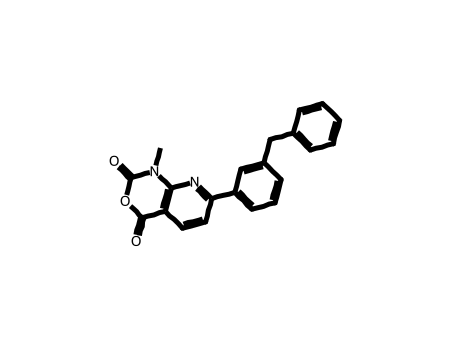 Cn1c(=O)oc(=O)c2ccc(-c3cccc(Cc4ccccc4)c3)nc21